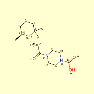 C[C@H]1CCCC(C)(C)[C@@H]1/C=C/C(=O)N1CCN(C(=O)O)CC1